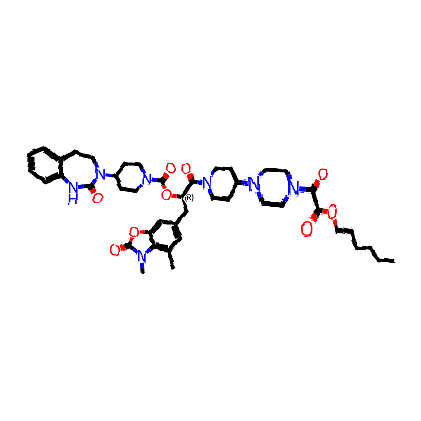 CCCCCCOC(=O)C(=O)N1CCN(C2CCN(C(=O)[C@@H](Cc3cc(C)c4c(c3)oc(=O)n4C)OC(=O)N3CCC(N4CCc5ccccc5NC4=O)CC3)CC2)CC1